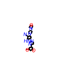 COc1cc(OC)cc(-c2ccnc(Nc3ccc(N4CCC(N5CCOCC5)CC4)c(C#N)c3)n2)c1